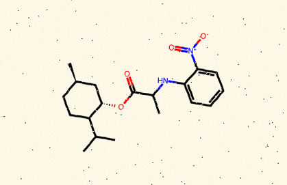 CC(Nc1ccccc1[N+](=O)[O-])C(=O)O[C@H]1C[C@H](C)CCC1C(C)C